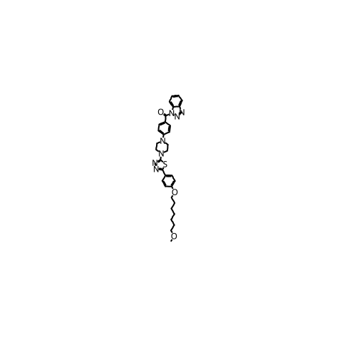 COCCCCCCCOc1ccc(-c2nnc(N3CCN(c4ccc(C(=O)n5nnc6ccccc65)cc4)CC3)s2)cc1